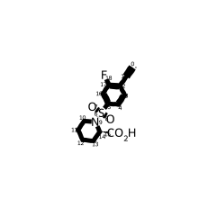 [C]#Cc1ccc(S(=O)(=O)N2CCCC[C@H]2C(=O)O)cc1F